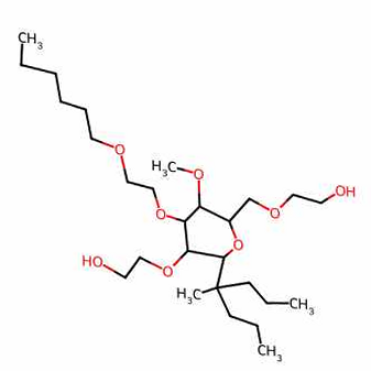 CCCCCCOCCOC1C(OC)C(COCCO)OC(C(C)(CCC)CCC)C1OCCO